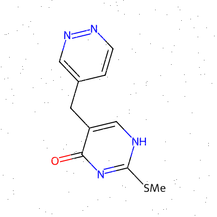 CSc1nc(=O)c(Cc2ccnnc2)c[nH]1